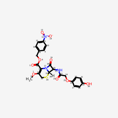 COC1=C(C(=O)OCc2ccc([N+](=O)[O-])cc2)N2C(=O)C(NC(=O)COc3ccc(O)cc3)[C@@H]2SC1